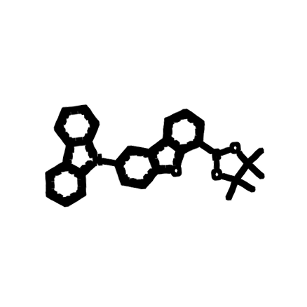 CC1(C)OB(c2cccc3c2oc2ccc(-n4c5ccccc5c5ccccc54)cc23)OC1(C)C